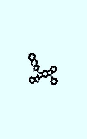 c1ccc(-n2c3ccccc3c3cc4c(cc32)c2sc3ccccc3c2n4-c2cc3cc4ccccc4cn3n2)cc1